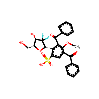 COc1c(C(=O)c2ccccc2)cc(S(=O)(=O)O)c([C@@H]2O[C@H](CO)[C@@H](O)C2(F)F)c1C(=O)c1ccccc1